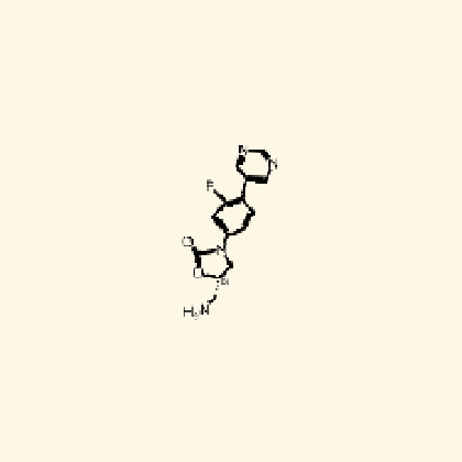 NC[C@H]1CN(c2ccc(-c3cncnc3)c(F)c2)C(=O)O1